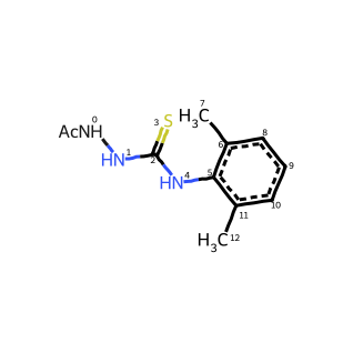 CC(=O)NNC(=S)Nc1c(C)cccc1C